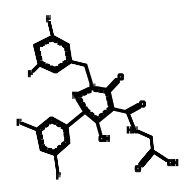 O=C(O)CNC(=O)c1c(O)c(-c2cc(F)cc(F)c2)nn(Cc2cc(F)cc(F)c2)c1=O